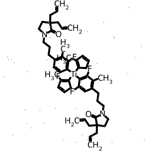 C=CCC1(CC=C)CCN(CCCc2cc(F)[c]([Ti]([C]3=C(C)C=CC3)([C]3=C(C)C=CC3)[c]3c(F)cc(CCCN4CCC(CC=C)(CC=C)C4=O)c(C)c3F)c(F)c2C)C1=O